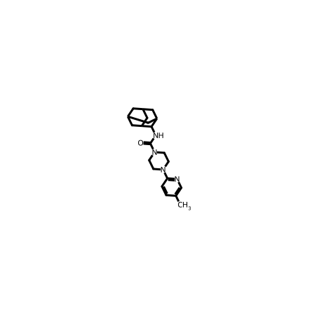 Cc1ccc(N2CCN(C(=O)NC3C4CC5CC(C4)CC3C5)CC2)nc1